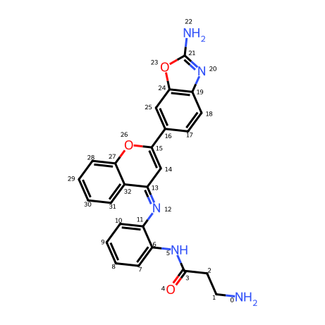 NCCC(=O)Nc1ccccc1N=c1cc(-c2ccc3nc(N)oc3c2)oc2ccccc12